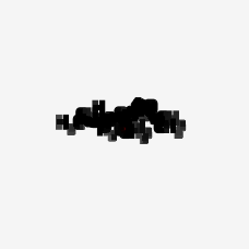 CC(C)C#CCNC(=O)COCCOC(COc1cccc(C(=O)NCCC(C)C)c1)SSC(C)(C)C